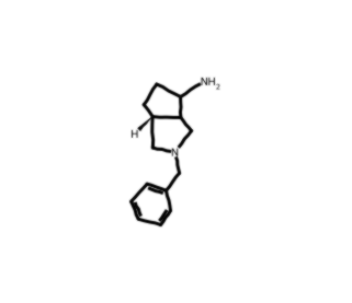 NC1CC[C@H]2CN(Cc3ccccc3)CC12